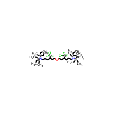 CC[Si](CC)(CC)N(CCCC(CCOCCC(CCCN([Si](CC)(CC)CC)[Si](CC)(CC)CC)[Si](Cl)(Cl)Cl)[Si](Cl)(Cl)Cl)[Si](CC)(CC)CC